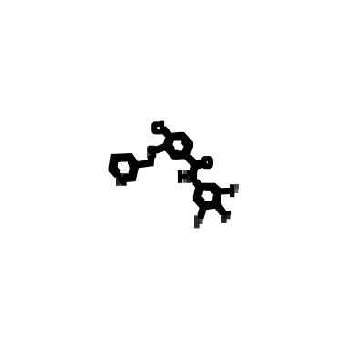 O=C(Nc1cc(F)c(F)c(F)c1)c1ccc(Cl)c(SCc2cccnc2)c1